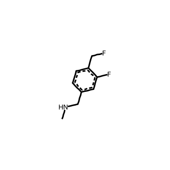 CNCc1ccc(CF)c(F)c1